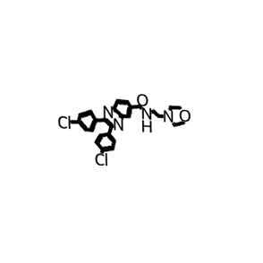 O=C(NCCN1CCOCC1)c1ccc2nc(-c3ccc(Cl)cc3)c(-c3ccc(Cl)cc3)nc2c1